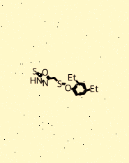 CCc1ccc(OCSCc2n[nH]c(=S)o2)c(CC)c1